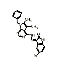 Cc1c(C)n(Cc2ccccc2)c2ncnc(N/N=C3\C(=O)Nc4ccc(Br)cc43)c12